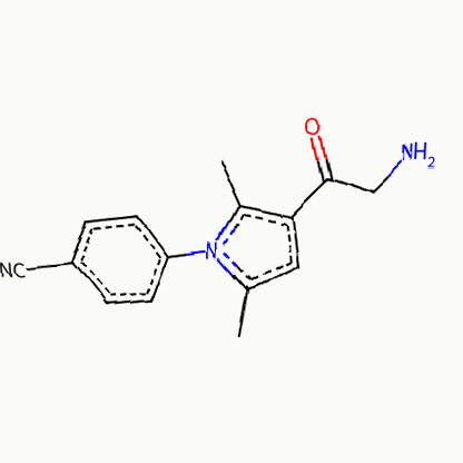 Cc1cc(C(=O)CN)c(C)n1-c1ccc(C#N)cc1